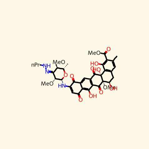 CCCNN=C1[C@@H](OC)[C@H](C)O[C@H](NC2=CC(=O)c3c(cc4c(c3O)C(=O)[C@]3(OC)[C@H](O)Cc5cc(C)c(C(=O)OC)c(O)c5[C@]3(O)C4=O)C2=O)[C@@H]1OC